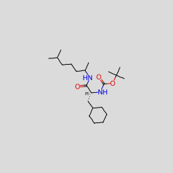 CC(C)CCCC(C)NC(=O)[C@@H](CC1CCCCC1)NC(=O)OC(C)(C)C